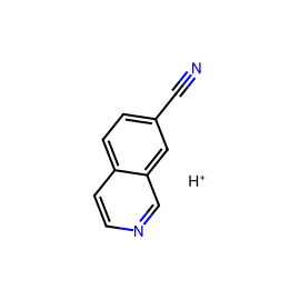 N#Cc1ccc2ccncc2c1.[H+]